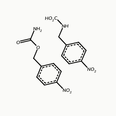 NC(=O)OCc1ccc([N+](=O)[O-])cc1.O=C(O)NCc1ccc([N+](=O)[O-])cc1